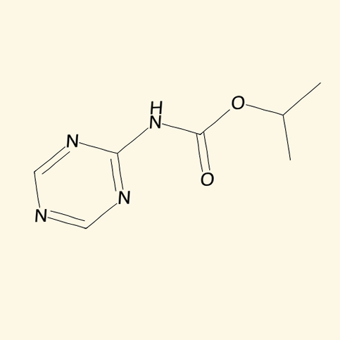 CC(C)OC(=O)Nc1ncncn1